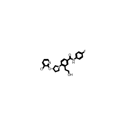 O=C(Nc1ccc(F)cc1)c1ccc(N2CC[C@H](Oc3ncccc3Cl)C2)c(CCO)c1